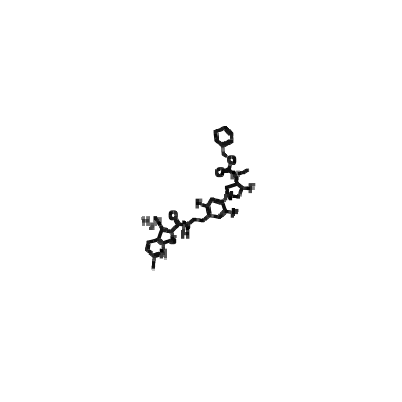 Cc1ccc2c(N)c(C(=O)NCCc3cc(F)c(N4C[C@@H](N(C)C(=O)OCc5ccccc5)[C@@H](F)C4)cc3F)sc2n1